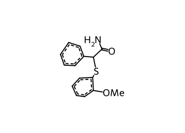 COc1ccccc1SC(C(N)=O)c1ccccc1